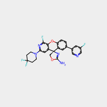 NC1=N[C@@]2(CO1)c1cc(-c3cncc(F)c3)ccc1Oc1c2cc(N2CCC(F)(F)CC2)nc1F